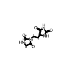 O=C1NC(=O)C(CCN2C(=O)CNC2=O)N1